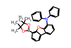 CC1(C)OB(c2cccc3c2oc2c(N(c4ccccc4)c4ccccc4)cccc23)OC1(C)C